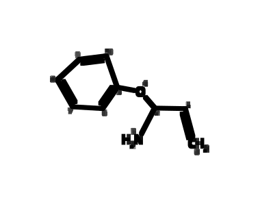 C=CC(N)Oc1ccccc1